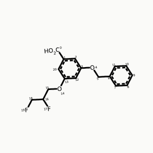 O=C(O)c1cc(OCc2ccccc2)cc(OCC(F)CF)c1